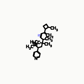 C=C(/C=C\C(C)C(C)(C)CC(c1ccncc1)C(C)C)C1CCC1C